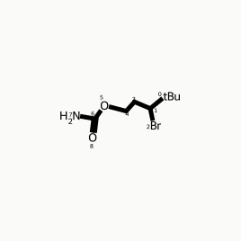 CC(C)(C)C(Br)CCOC(N)=O